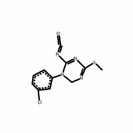 CSC1=NCN(c2cccc(Cl)c2)C(N=C=O)=N1